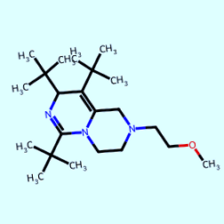 COCCN1CCN2C(C(C)(C)C)=NC(C(C)(C)C)C(C(C)(C)C)=C2C1